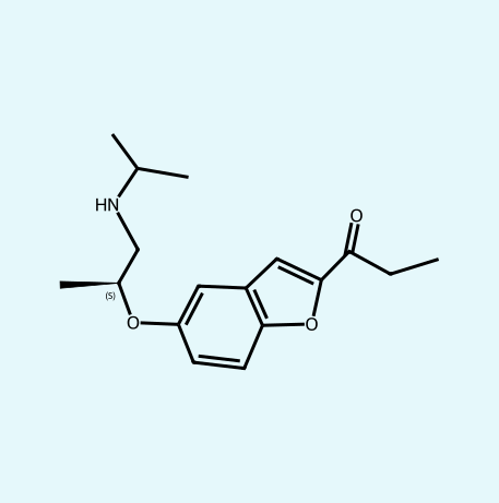 CCC(=O)c1cc2cc(O[C@@H](C)CNC(C)C)ccc2o1